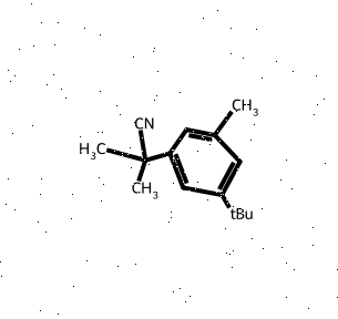 Cc1cc(C(C)(C)C)cc(C(C)(C)C#N)c1